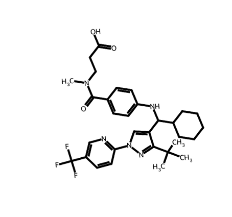 CN(CCC(=O)O)C(=O)c1ccc(NC(c2cn(-c3ccc(C(F)(F)F)cn3)nc2C(C)(C)C)C2CCCCC2)cc1